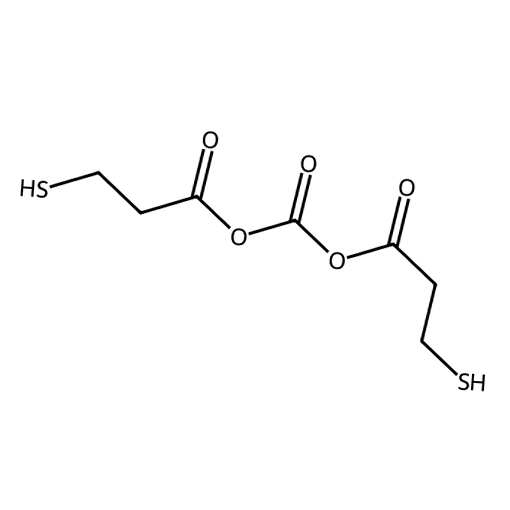 O=C(CCS)OC(=O)OC(=O)CCS